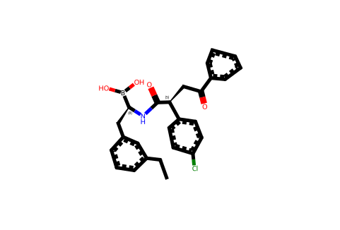 CCc1cccc(C[C@H](NC(=O)[C@@H](CC(=O)c2ccccc2)c2ccc(Cl)cc2)B(O)O)c1